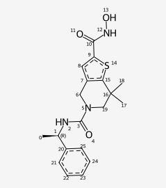 C[C@@H](NC(=O)N1Cc2cc(C(=O)NO)sc2C(C)(C)C1)c1ccccc1